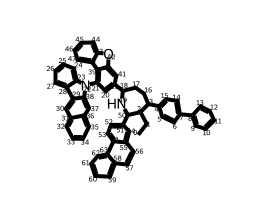 CCC1C(c2ccc(-c3ccccc3)cc2)CCC(c2cc(-n3c4ccccc4c4cc5ccccc5cc43)c3c(c2)oc2ccccc23)NC1c1ccc2c(ccc3ccccc32)c1